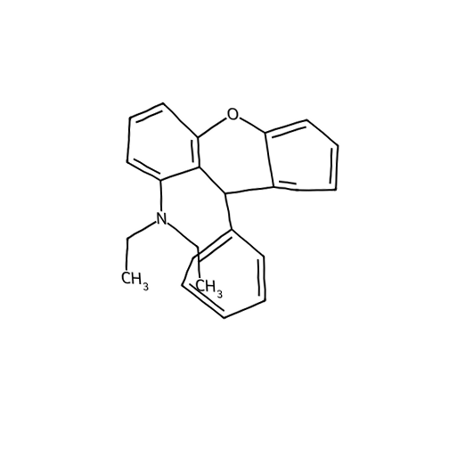 CCN(CC)c1cccc2c1C(c1ccccc1)c1ccccc1O2